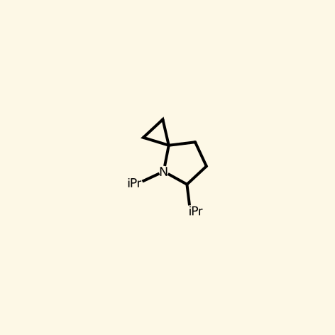 CC(C)C1CCC2(CC2)N1C(C)C